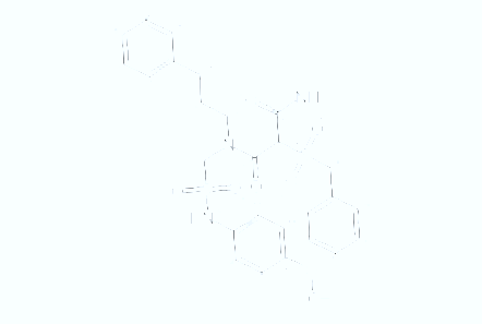 COc1ccc(NS(=O)(=O)CN(CCCc2ccccc2)C(=O)C(C(N)=O)S(=O)(=O)Cc2ccccc2)cc1